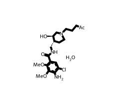 COc1c(C(=O)NC[C@H]2CCN(CCCC(C)=O)C[C@@H]2O)cc(Cl)c(N)c1OC.O